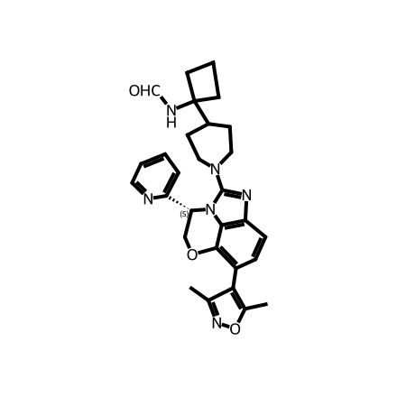 Cc1noc(C)c1-c1ccc2nc(N3CCC(C4(NC=O)CCC4)CC3)n3c2c1OC[C@@H]3c1ccccn1